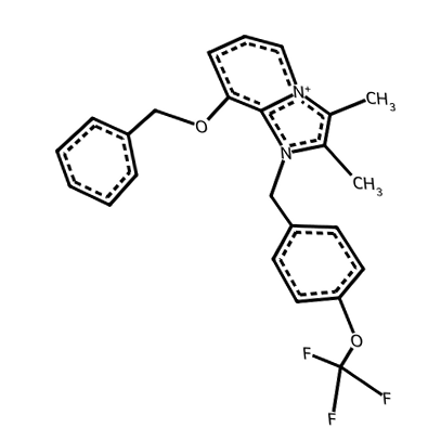 Cc1c(C)[n+]2cccc(OCc3ccccc3)c2n1Cc1ccc(OC(F)(F)F)cc1